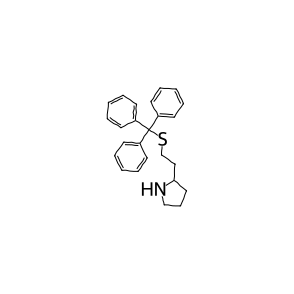 c1ccc(C(SCCC2CCCN2)(c2ccccc2)c2ccccc2)cc1